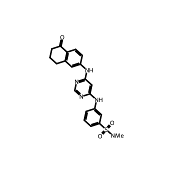 CNS(=O)(=O)c1cccc(Nc2cc(Nc3ccc4c(c3)CCCC4=O)ncn2)c1